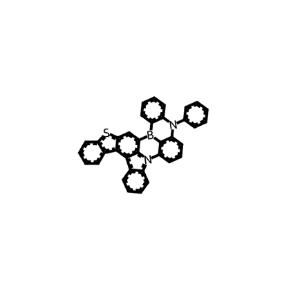 c1ccc(N2c3ccccc3B3c4c2cccc4-n2c4ccccc4c4c5c(cc3c42)sc2ccccc25)cc1